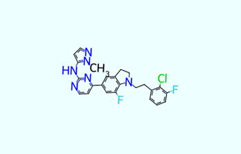 Cn1nccc1Nc1nccc(-c2cc(F)c3c(c2)CCN3CCc2cccc(F)c2Cl)n1